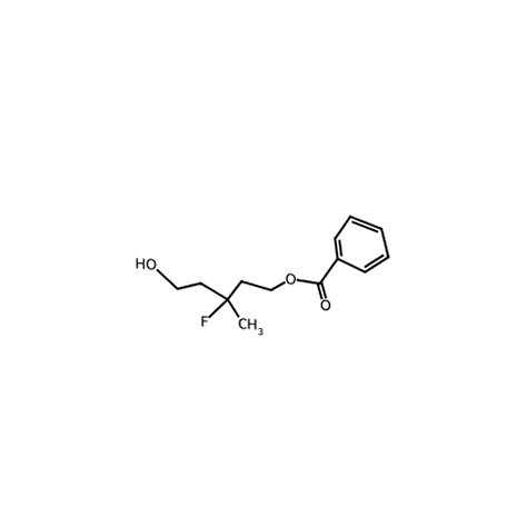 CC(F)(CCO)CCOC(=O)c1ccccc1